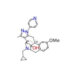 COc1ccc2c(c1)[C@@]13CCN(CC4CC4)C(C2)[C@@]1(O)Cc1c(C)nn(-c2ccncc2)c1C3